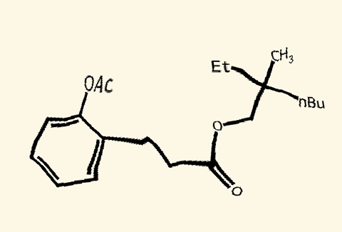 CCCCC(C)(CC)COC(=O)CCc1ccccc1OC(C)=O